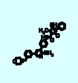 Cc1c(C(=O)Nc2ccc(-c3cc(-c4cccc(CN5CCOCC5)c4)cnc3N)cc2)c(=O)n(-c2ccccc2)n1C